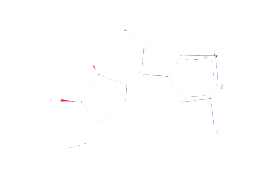 Nc1nc2c(c(=O)[nH]1)SC([SeH])N2[C@@H]1O[C@H](CO)[C@@H](O)[C@H]1O